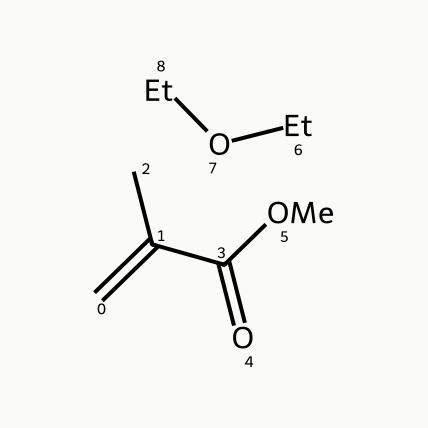 C=C(C)C(=O)OC.CCOCC